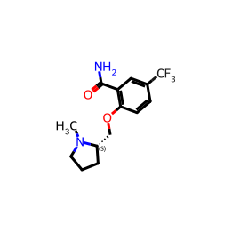 CN1CCC[C@H]1COc1ccc(C(F)(F)F)cc1C(N)=O